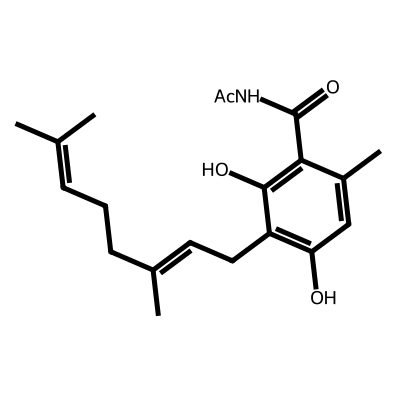 CC(=O)NC(=O)c1c(C)cc(O)c(C/C=C(\C)CCC=C(C)C)c1O